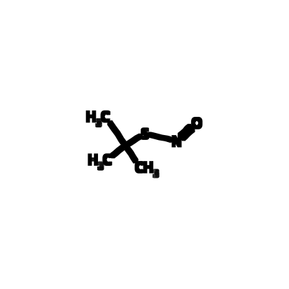 CC(C)(C)SN=O